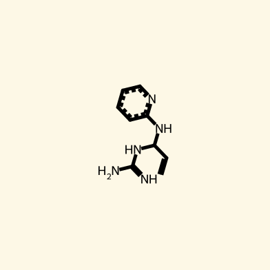 C=CC(NC(=N)N)Nc1ccccn1